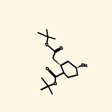 CC(C)(C)OC(=O)C[C@@H]1C[C@H](O)CCC1C(=O)OC(C)(C)C